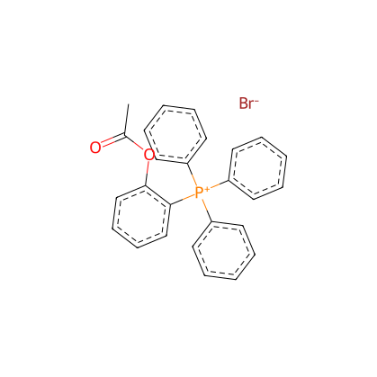 CC(=O)Oc1ccccc1[P+](c1ccccc1)(c1ccccc1)c1ccccc1.[Br-]